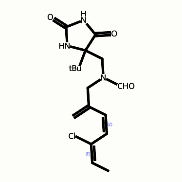 C=C(/C=C\C(Cl)=C/C)CN(C=O)CC1(C(C)(C)C)NC(=O)NC1=O